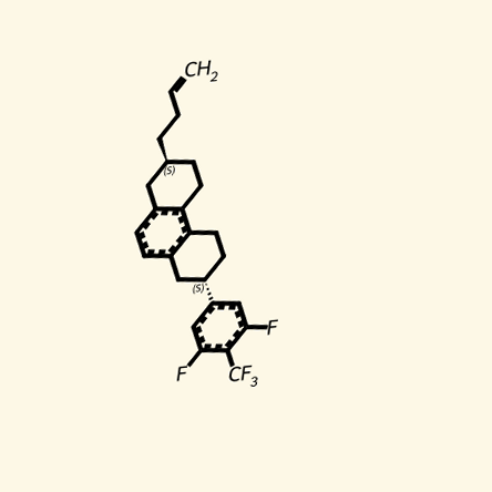 C=CCC[C@H]1CCc2c(ccc3c2CC[C@H](c2cc(F)c(C(F)(F)F)c(F)c2)C3)C1